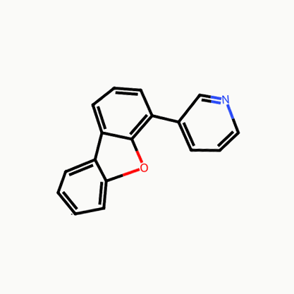 [c]1ccc2c(c1)oc1c(-c3cccnc3)cccc12